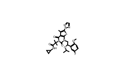 COc1ccc(F)cc1C(Cn1c(=O)n(C(C)(C)C(=O)NC2CC2)c(=O)c2c(C)c(-n3nccn3)sc21)OC(C)C